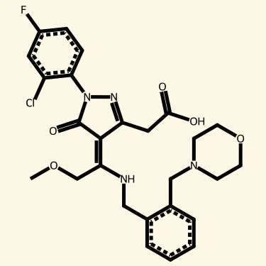 COCC(NCc1ccccc1CN1CCOCC1)=C1C(=O)N(c2ccc(F)cc2Cl)N=C1CC(=O)O